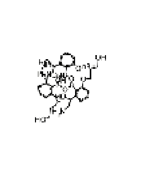 CCCCOc1cccc(C(O)CN)c1B(O)OB(OB(O)c1c(OCCCO)cccc1C(O)CN)c1c(OCCCO)cccc1C(O)CN